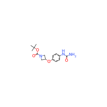 CC(C)(C)OC(=O)N1CC(Oc2ccc(NC(N)=O)cc2)C1